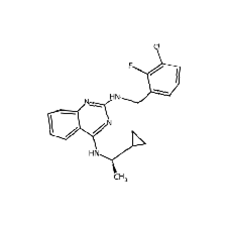 C[C@@H](Nc1nc(NCc2cccc(Cl)c2F)nc2ccccc12)C1CC1